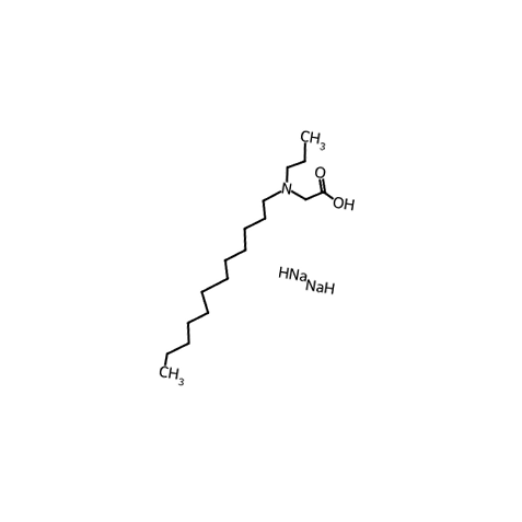 CCCCCCCCCCCCN(CCC)CC(=O)O.[NaH].[NaH]